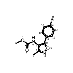 COC(=O)Nc1c(C)noc1-c1ccc(Br)cc1